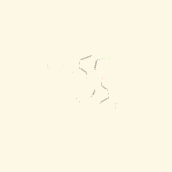 CCOC(=O)Cc1ccc(Cl)c(Oc2cc(C#N)cc(C(F)F)c2)c1F